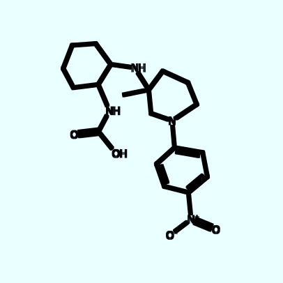 CC1(NC2CCCCC2NC(=O)O)CCCN(c2ccc([N+](=O)[O-])cc2)C1